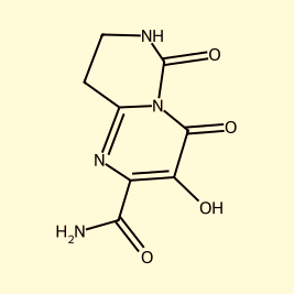 NC(=O)c1nc2n(c(=O)c1O)C(=O)NCC2